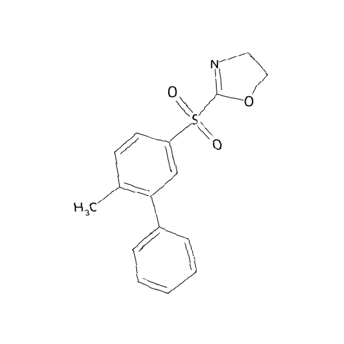 Cc1ccc(S(=O)(=O)C2=NCCO2)cc1-c1ccccc1